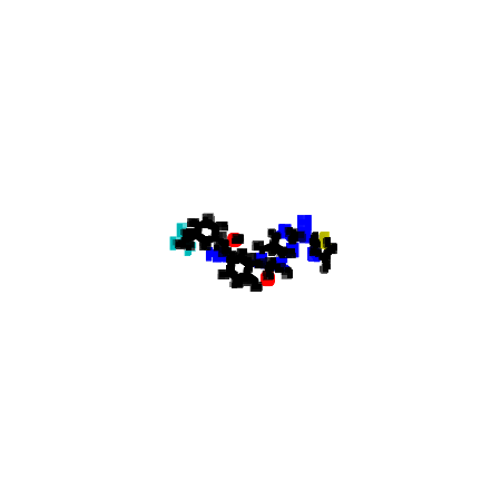 Cc1csc(Nc2ncc3c(n2)N(C)C(=O)N(c2cc(NC(=O)c4cccc(C(F)(F)F)c4)ccc2C)C3)n1